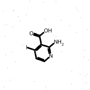 Nc1nccc(I)c1C(=O)O